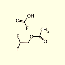 CC(=O)OCC(F)F.O=C(O)F